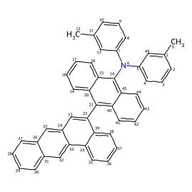 Cc1cccc(N(c2cccc(C)c2)c2c3ccccc3c(-c3cc4cc5ccccc5cc4c4ccccc34)c3ccccc23)c1